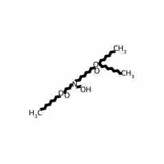 CCCCCCCCCOC(=O)CCCN(CCO)CCCCCCCC(=O)OC(CCCCCCC)CCCCCCCC